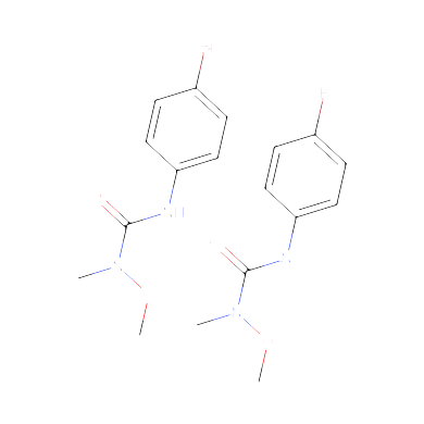 CON(C)C(=O)Nc1ccc(Br)cc1.CON(C)C(=O)Nc1ccc(Br)cc1